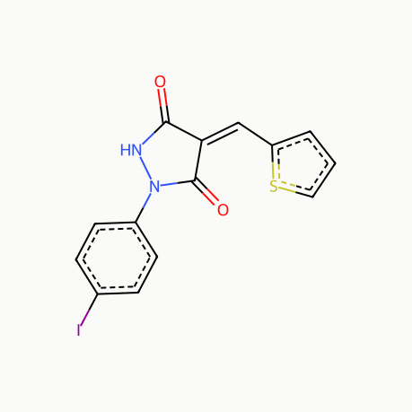 O=C1NN(c2ccc(I)cc2)C(=O)/C1=C\c1cccs1